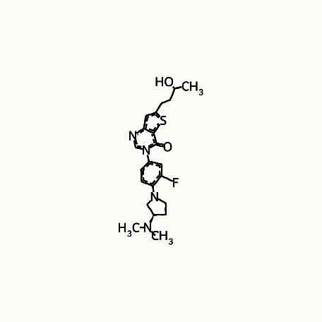 CC(O)CCc1cc2ncn(-c3ccc(N4CC[C@@H](N(C)C)C4)c(F)c3)c(=O)c2s1